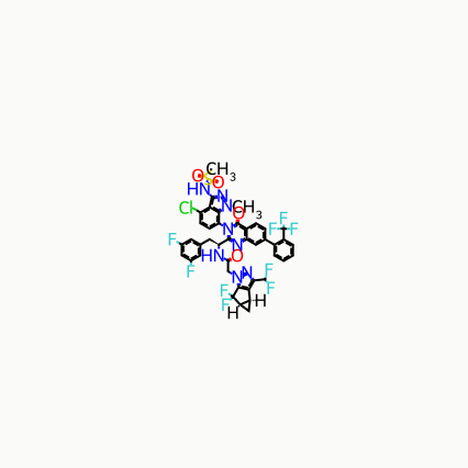 Cn1nc(NS(C)(=O)=O)c2c(Cl)ccc(-n3c([C@H](Cc4cc(F)cc(F)c4)NC(=O)Cn4nc(C(F)F)c5c4C(F)(F)[C@@H]4C[C@H]54)nc4cc(-c5ccccc5C(F)(F)F)ccc4c3=O)c21